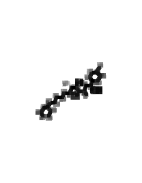 CCC([C@H](CC)C(C)C[C@@H](O)C1CCC(C)CC1)[C@@H](C)CCCCCCC1CCCCC1